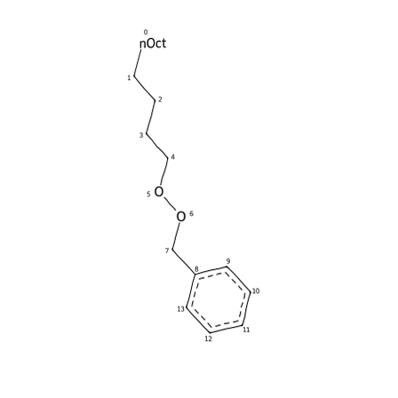 CCCCCCCCCCCCOOCc1ccccc1